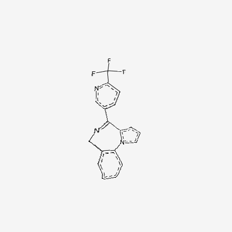 FC(F)(F)c1ccc(C2=NCc3ccccc3-n3cccc32)cn1